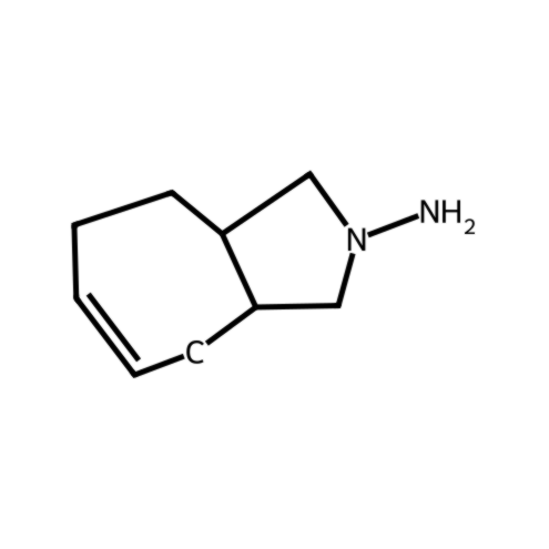 NN1CC2CC=CCCC2C1